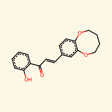 O=C(/C=C/c1ccc2c(c1)OCCCCO2)c1ccccc1O